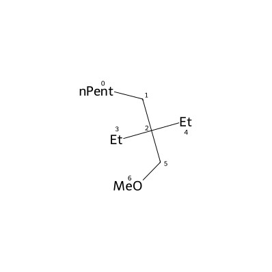 CCCCCCC(CC)(CC)COC